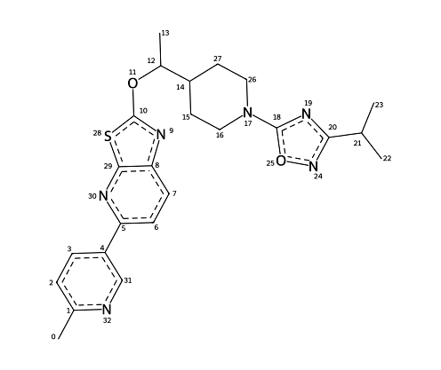 Cc1ccc(-c2ccc3nc(OC(C)C4CCN(c5nc(C(C)C)no5)CC4)sc3n2)cn1